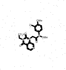 COc1ccc(N(OC)C(=O)Cn2c(=O)n(CC(=O)O)c(=O)c3ccncc32)cc1Cl